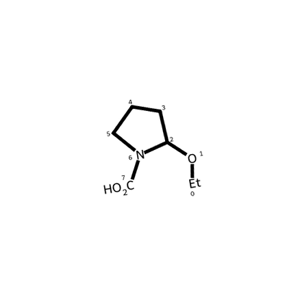 CCOC1CCCN1C(=O)O